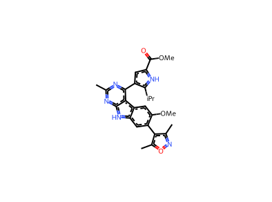 COC(=O)c1cc(-c2nc(C)nc3[nH]c4cc(-c5c(C)noc5C)c(OC)cc4c23)c(C(C)C)[nH]1